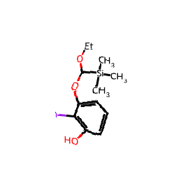 CCOC(Oc1cccc(O)c1I)[Si](C)(C)C